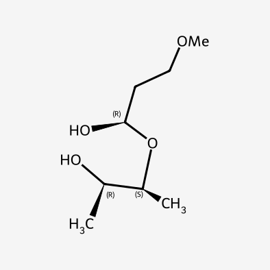 COCC[C@H](O)O[C@@H](C)[C@@H](C)O